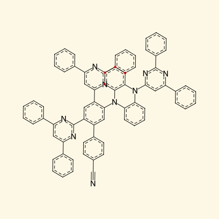 N#Cc1ccc(-c2cc(N3c4ccccc4N(c4cc(-c5ccccc5)nc(-c5ccccc5)n4)c4ccccc43)c(-c3cc(-c4ccccc4)nc(-c4ccccc4)n3)cc2-c2nc(-c3ccccc3)cc(-c3ccccc3)n2)cc1